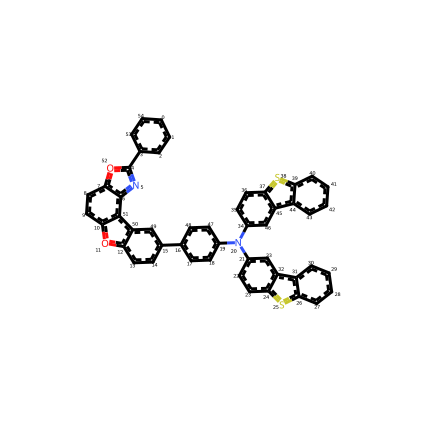 c1ccc(-c2nc3c(ccc4oc5ccc(-c6ccc(N(c7ccc8sc9ccccc9c8c7)c7ccc8sc9ccccc9c8c7)cc6)cc5c43)o2)cc1